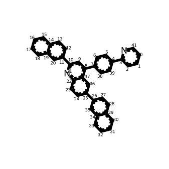 c1ccc(-c2ccc(-c3cc(-c4ccc5ccccc5c4)nc4ccc(-c5ccc6ccccc6c5)cc34)cc2)nc1